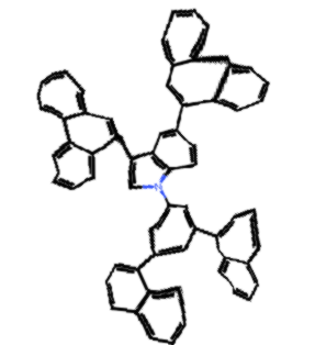 c1ccc2c(-c3cc(-c4cccc5ccccc45)cc(-n4cc(-c5cc6ccccc6c6ccccc56)c5cc(-c6cc7ccccc7c7ccccc67)ccc54)c3)cccc2c1